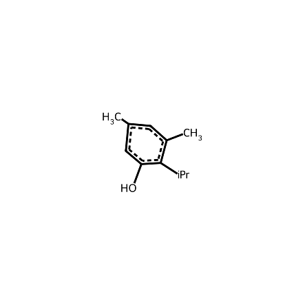 Cc1cc(C)c(C(C)C)c(O)c1